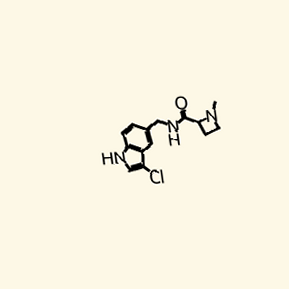 CN1CCC1C(=O)NCc1ccc2[nH]cc(Cl)c2c1